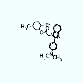 CC1CCC(C(C)C)[C@H](OC(=O)Cn2c(-c3ccc(N(C)C)cc3)nc3ccccc32)C1